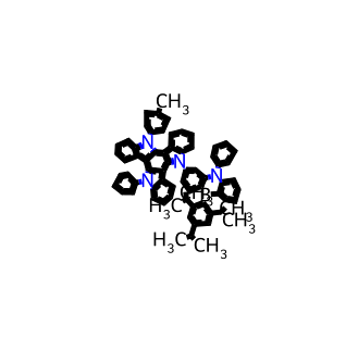 Cc1ccc(-n2c3ccccc3c3c2c2c4ccccc4n(-c4ccc5c(c4)N(c4ccccc4)c4ccccc4B5c4c(C(C)C)cc(C(C)C)cc4C(C)C)c2c2c4ccccc4n(-c4ccccc4)c32)cc1